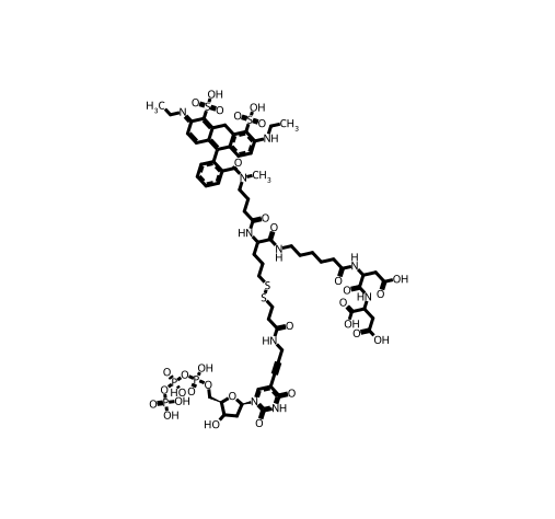 CC/N=C1\C=CC2=C(c3ccccc3C(=O)N(C)CCCC(=O)NC(CCCSSCCC(=O)NCC#Cc3cn([C@H]4CC(O)[C@@H](COP(=O)(O)OP(=O)(O)OP(=O)(O)O)O4)c(=O)[nH]c3=O)C(=O)NCCCCCC(=O)NC(CC(=O)O)C(=O)NC(CC(=O)O)C(=O)O)c3ccc(NCC)c(S(=O)(=O)O)c3CC2=C1S(=O)(=O)O